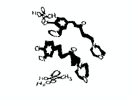 CS(=O)(=O)O.CS(=O)(=O)O.O.O=C(C=Cc1ccc(Cl)c(Cl)c1)CCN1CCOCC1.O=C(C=Cc1ccc(Cl)c(Cl)c1)CCN1CCOCC1